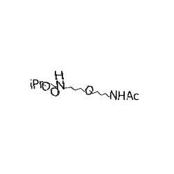 CC(=O)NCCCCCOCCCCCNC(=O)COC(C)C